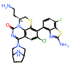 NCC[C@H]1CSc2c(-c3ccc(F)c4sc(N)nc34)c(Cl)cc3c(N4CC5CCC(C4)N5)nc(=O)n1c23